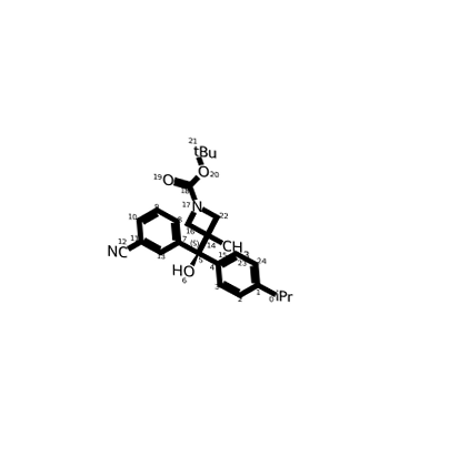 CC(C)c1ccc([C@](O)(c2cccc(C#N)c2)C2(C)CN(C(=O)OC(C)(C)C)C2)cc1